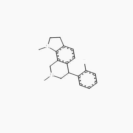 CN1Cc2c(ccc3c2N(C)CC3)C(c2ccccc2F)C1